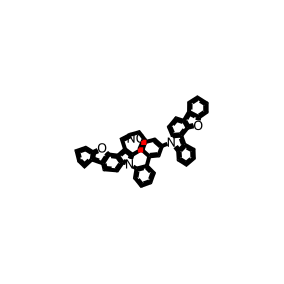 N#CC1C=C(n2c3ccccc3c3c4oc5ccccc5c4ccc32)C=C(c2ccccc2-n2c3c(c4c5oc6ccccc6c5ccc42)C=CCC#C3)C1